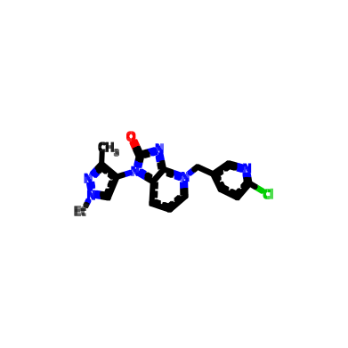 CCn1cc(-n2c3cccn(Cc4ccc(Cl)nc4)c-3nc2=O)c(C)n1